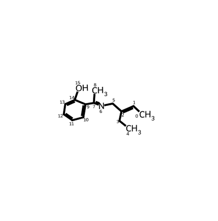 C/C=C(\CC)C/N=C(\C)c1ccccc1O